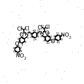 O=C(C(Cl)Cl)N(Cc1ccc(Oc2ccc([N+](=O)[O-])cc2)cc1)Cc1cccc(CN(Cc2ccc(Oc3ccc([N+](=O)[O-])cc3)cc2)C(=O)C(Cl)Cl)c1